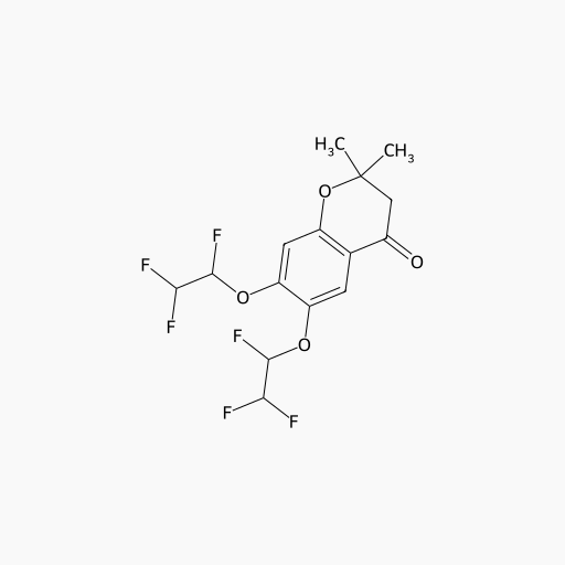 CC1(C)CC(=O)c2cc(OC(F)C(F)F)c(OC(F)C(F)F)cc2O1